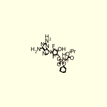 CC(C)OC(=O)[C@H](C)N[P@](=O)(OC[C@H]1[C@@H](C)[C@@H](n2cnc3c(N)nc(N)nc32)[C@H](F)[C@@H]1O)Oc1ccccc1